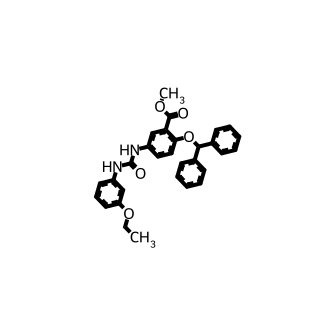 CCOc1cccc(NC(=O)Nc2ccc(OC(c3ccccc3)c3ccccc3)c(C(=O)OC)c2)c1